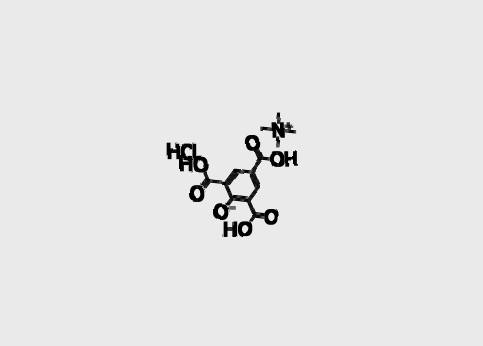 C[N+](C)(C)C.Cl.O=C(O)c1cc(C(=O)O)c([O-])c(C(=O)O)c1